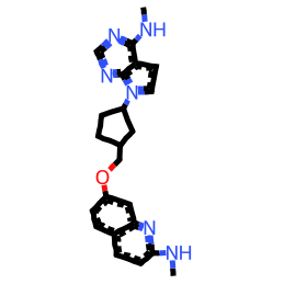 CNc1ccc2ccc(OCC3CCC(n4ccc5c(NC)ncnc54)C3)cc2n1